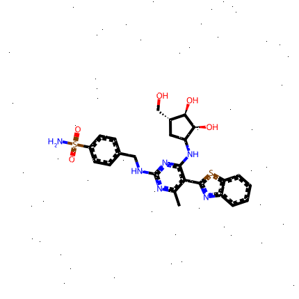 Cc1nc(NCc2ccc(S(N)(=O)=O)cc2)nc(NC2C[C@H](CO)[C@@H](O)[C@H]2O)c1-c1nc2ccccc2s1